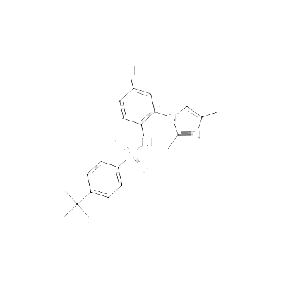 Cc1cn(-c2cc(Cl)ccc2NS(=O)(=O)c2ccc(C(C)(C)C)cc2)c(C)n1